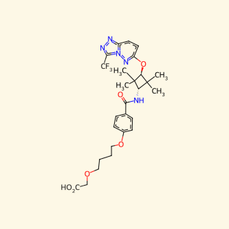 CC1(C)[C@H](NC(=O)c2ccc(OCCCCOCC(=O)O)cc2)C(C)(C)[C@H]1Oc1ccc2nnc(C(F)(F)F)n2n1